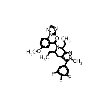 CCC1Cc2c(nn(C)c2-c2cc(F)c(F)c(F)c2)C(CC)N1C(=O)c1cc(OC)ccc1-n1cncn1